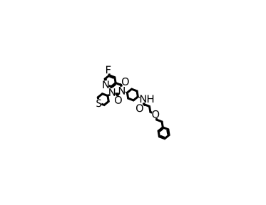 O=C(CCOCCc1ccccc1)N[C@H]1CC[C@@H](n2c(=O)c3cc(F)cnc3n(C3CCSCC3)c2=O)CC1